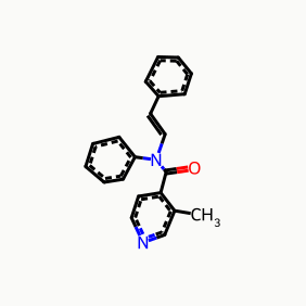 Cc1cnccc1C(=O)N(C=Cc1ccccc1)c1ccccc1